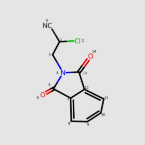 N#CC(Cl)CN1C(=O)c2ccccc2C1=O